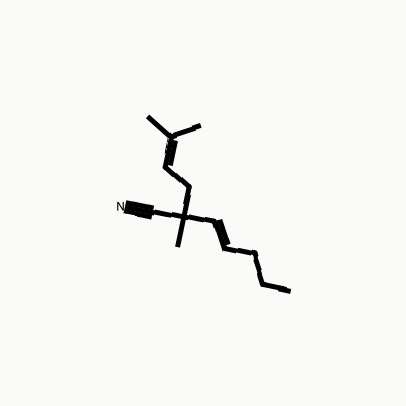 CCC/C=C/C(C)(C#N)CC=C(C)C